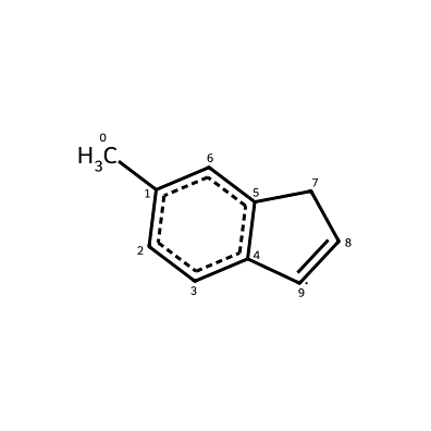 Cc1ccc2c(c1)CC=[C]2